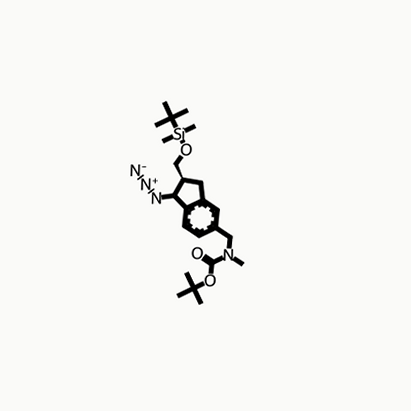 CN(Cc1ccc2c(c1)C[C@H](CO[Si](C)(C)C(C)(C)C)C2N=[N+]=[N-])C(=O)OC(C)(C)C